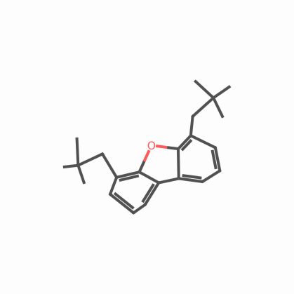 CC(C)(C)Cc1cccc2c1oc1c(CC(C)(C)C)cccc12